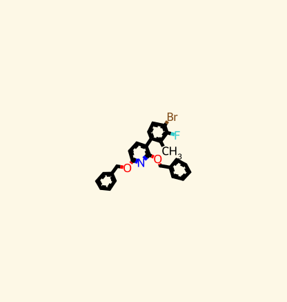 Cc1c(-c2ccc(OCc3ccccc3)nc2OCc2ccccc2)ccc(Br)c1F